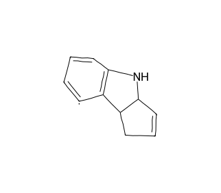 [c]1cccc2c1C1CC=CC1N2